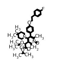 C=C/C(=C(\C(=C(\C)N=O)c1ccc(OCCc2ccc(F)cc2)cc1)N1CCC(C)(C)CC1)[C@H](OC(C)(C)C)C(=O)OC(C)C